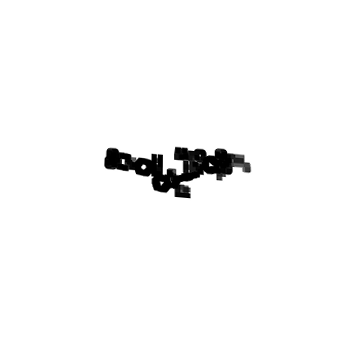 CCc1c(C#CCNc2cc(F)c(S(C)(=O)=O)cc2OC)sc2c(NC3CCC(N4CCS(=O)(=O)CC4)CC3)cccc12